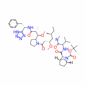 CC[C@H](C)[C@@H]([C@@H](CC(=O)N1CCCC1[C@H](OC)[C@@H](C)C(=O)N[C@@H](Cc1ccccc1)c1nnn[nH]1)OC)N(C)C(=O)C(NC(=O)[C@@H]1[C@H]2CC[C@H](C2)N1C(=O)OC(C)(C)C)C(C)C